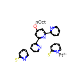 CCCCCCCCOc1cc(-c2ccccn2)nc(-c2ccccn2)c1.[Pt+2].[S-]c1ccccn1.[S-]c1ccccn1